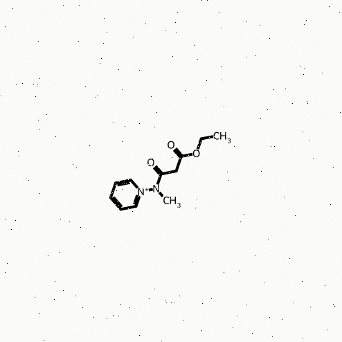 CCOC(=O)CC(=O)N(C)[n+]1ccccc1